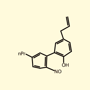 C=CCc1ccc(O)c(-c2cc(CCC)ccc2N=O)c1